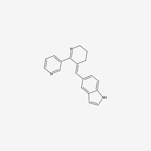 C(=C1/CCCN=C1c1cccnc1)/c1ccc2[nH]ccc2c1